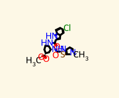 COC(=O)[C@@H]1CC[C@H](NC(=O)C2=CC3C=C(Cl)C=CC3N2)[C@H](NC(=O)c2nc3c(s2)CN(C)CC3)C1